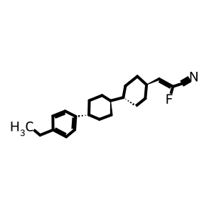 CCc1ccc([C@H]2CC[C@H]([C@H]3CC[C@H](C=C(F)C#N)CC3)CC2)cc1